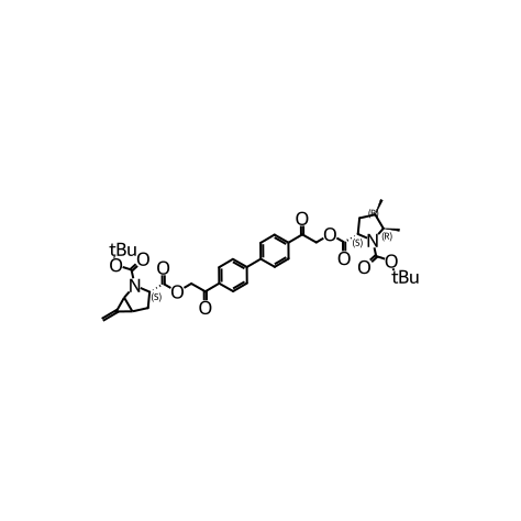 C=C1C2C[C@@H](C(=O)OCC(=O)c3ccc(-c4ccc(C(=O)COC(=O)[C@@H]5C[C@@H](C)[C@@H](C)N5C(=O)OC(C)(C)C)cc4)cc3)N(C(=O)OC(C)(C)C)C12